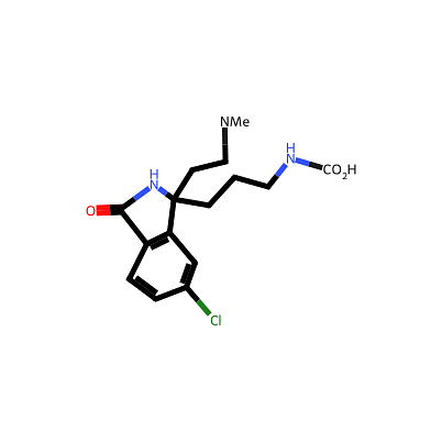 CNCCC1(CCCNC(=O)O)NC(=O)c2ccc(Cl)cc21